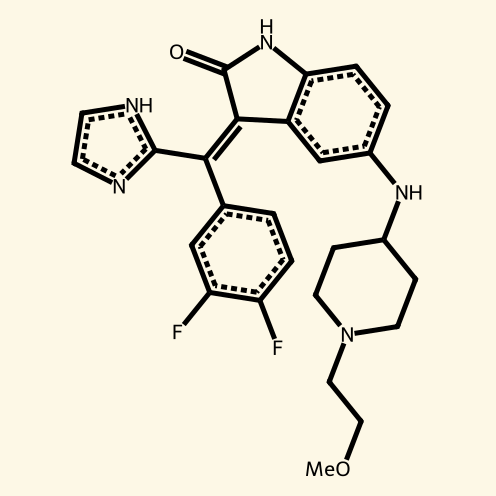 COCCN1CCC(Nc2ccc3c(c2)/C(=C(\c2ccc(F)c(F)c2)c2ncc[nH]2)C(=O)N3)CC1